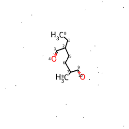 CCC(C=O)CCC(C)C=O